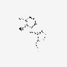 Cc1c(Cl)cccc1Nc1cscc1CCl